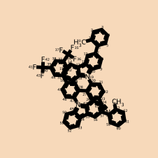 Cc1ccccc1-c1ccc2c(c1)c1ccccc1n2-c1ccc(C#N)cc1-c1cc(-c2cc(C(F)(F)F)cc(C(F)(F)F)c2)ccc1-n1c2ccccc2c2cc(-c3ccccc3C)ccc21